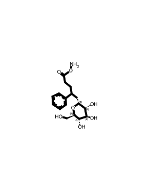 NOC(=O)CCC(C[C@H]1O[C@H](CO)[C@@H](O)[C@H](O)[C@H]1O)c1ccccc1